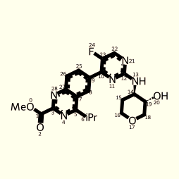 COC(=O)c1nc(C(C)C)c2cc(-c3nc(N[C@@H]4CCOC[C@H]4O)ncc3F)ccc2n1